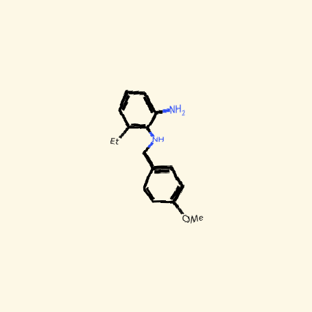 CCc1cccc(N)c1NCc1ccc(OC)cc1